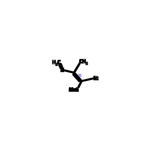 C=N/C(C)=C(/CC)SC